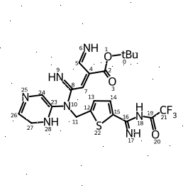 CC(C)(C)OC(=O)/C(C=N)=C/C(=N)N(Cc1ccc(C(=N)NC(=O)C(F)(F)F)s1)C1=CN=CCN1